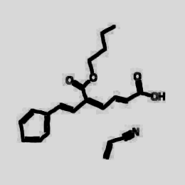 C=CC#N.CCCCOC(=O)C(C=Cc1ccccc1)=CC=CC(=O)O